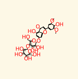 COc1cc(-c2cc(=O)c3c(O)cc(OC4O[C@H](CO)[C@@H](OC5O[C@H](CO)[C@@H](O)[C@H](O)[C@H]5O)[C@H](O)[C@H]4O)cc3o2)cc(OC)c1O